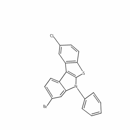 Clc1ccc2sc3c(c2c1)c1ccc(Br)cc1n3-c1ccccc1